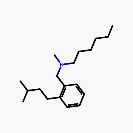 CCCCCCN(C)Cc1ccc[c]c1CCC(C)C